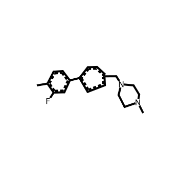 Cc1ccc(-c2ccc(CN3CCN(C)CC3)cc2)cc1F